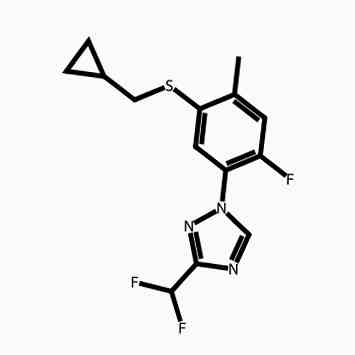 Cc1cc(F)c(-n2cnc(C(F)F)n2)cc1SCC1CC1